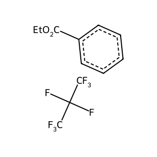 CCOC(=O)c1ccccc1.FC(F)(F)C(F)(F)C(F)(F)F